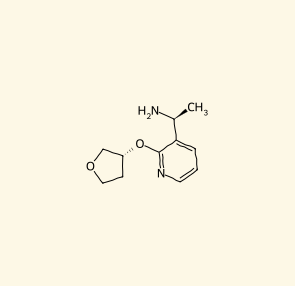 C[C@H](N)c1cccnc1O[C@@H]1CCOC1